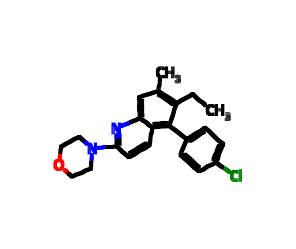 CCc1c(C)cc2nc(N3CCOCC3)ccc2c1-c1ccc(Cl)cc1